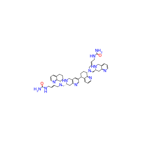 NC(=O)NC/C=C/CN(C[C@H]1Cc2ncc(C3CC[C@H](N(C/C=C/CNC(N)=O)C[C@@H]4Cc5ncccc5CN4)c4ncccc43)cc2CN1)[C@H]1CCCc2cccnc21